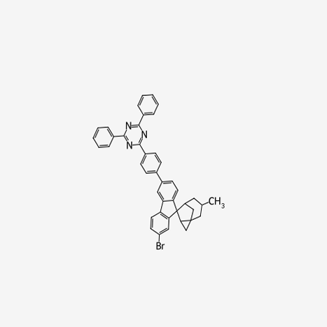 CC1CC2CC3(C1)CC3C21c2ccc(-c3ccc(-c4nc(-c5ccccc5)nc(-c5ccccc5)n4)cc3)cc2-c2ccc(Br)cc21